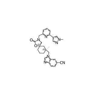 Cn1cc(-c2cccc(CN3C[C@@]4(CCC[C@](C)(Cn5cnc6ccc(C#N)cc65)C4)OC3=O)n2)cn1